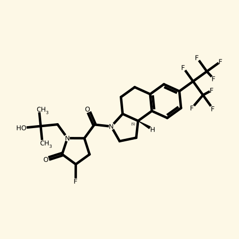 CC(C)(O)CN1C(=O)C(F)CC1C(=O)N1CC[C@H]2c3ccc(C(F)(C(F)(F)F)C(F)(F)F)cc3CCC21